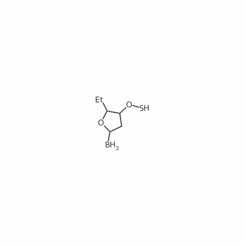 BC1CC(OS)C(CC)O1